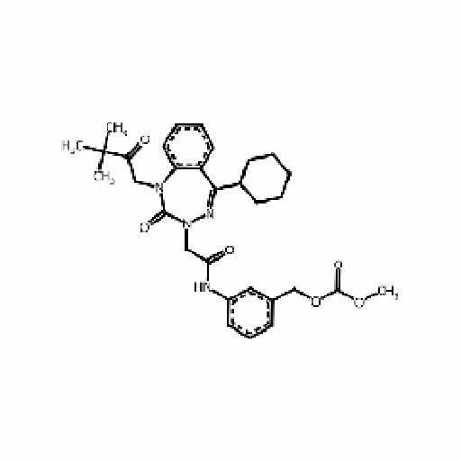 COC(=O)OCc1cccc(NC(=O)CN2N=C(C3CCCCC3)c3ccccc3N(CC(=O)C(C)(C)C)C2=O)c1